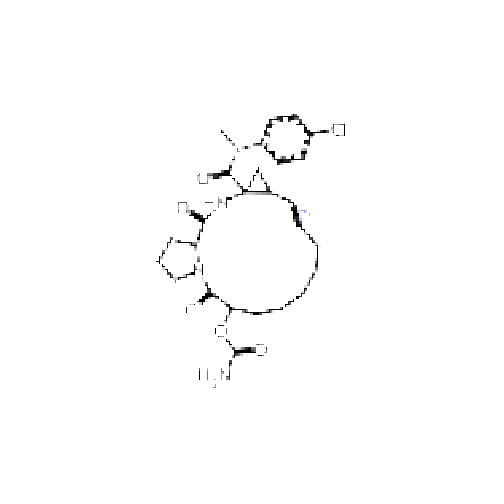 CN(C(=O)C12CC1/C=C/CCCCCC(OC(N)=O)C(=O)N1CCCC1C(=O)N2)c1ccc(Cl)cc1